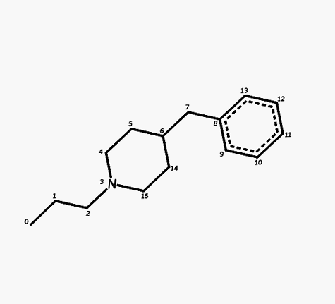 CCCN1CCC(Cc2ccccc2)CC1